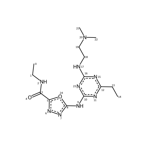 CCNC(=O)c1nnc(Nc2nc(CC)nc(NCCN(C)C)n2)o1